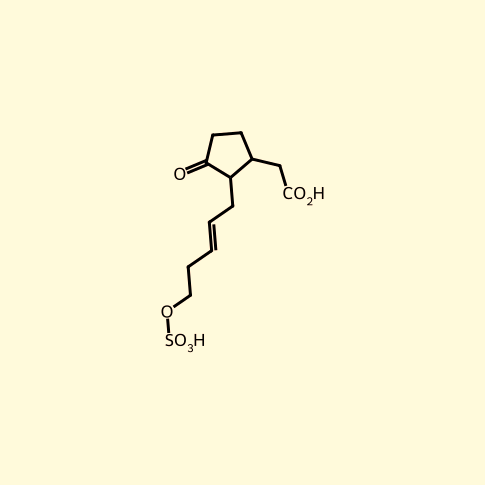 O=C(O)CC1CCC(=O)C1CC=CCCOS(=O)(=O)O